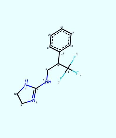 FC(F)(F)C(CNC1=NCCN1)c1ccccc1